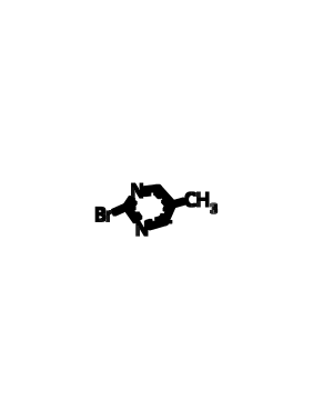 Cc1[c]nc(Br)nc1